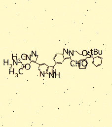 C[C@@H](CN)Oc1c(-c2cnc3[nH]nc(-c4ccc5nn(CCO[Si](c6ccccc6)(c6ccccc6)C(C)(C)C)c(C=O)c5c4)c3c2)cnn1C